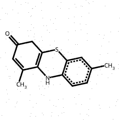 CC1=CC(=O)CC2=C1Nc1ccc(C)cc1S2